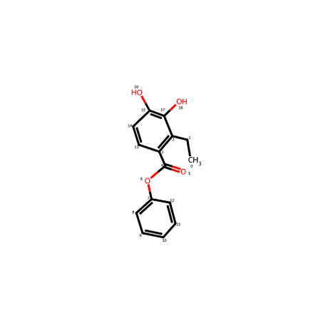 CCc1c(C(=O)Oc2ccccc2)ccc(O)c1O